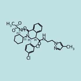 Cc1cnn(CCNC(=O)[C@@H]2c3ccccc3C(=O)N([C@H]3CCCC[C@@H]3NS(C)(=O)=O)[C@H]2c2ccc(Cl)cc2Cl)c1